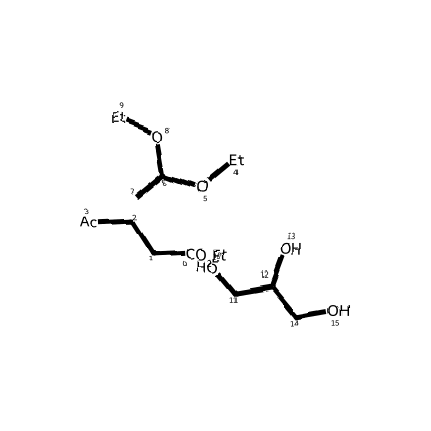 CCOC(=O)CCC(C)=O.CCOC(C)OCC.OCC(O)CO